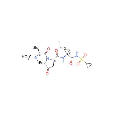 C=C[C@@H]1C[C@]1(NC(=O)[C@@H]1CC(=O)CN1C(=O)[C@@H](N(C(=O)O)C(C)(C)C)C(C)(C)C)C(=O)NS(=O)(=O)C1CC1